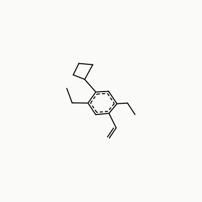 C=Cc1cc(CC)c(C2CCC2)cc1CC